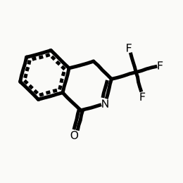 O=C1N=C(C(F)(F)F)Cc2ccccc21